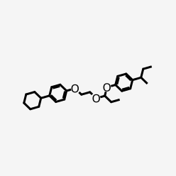 CCC(OCCOc1ccc(C2CCCCC2)cc1)Oc1ccc(C(C)CC)cc1